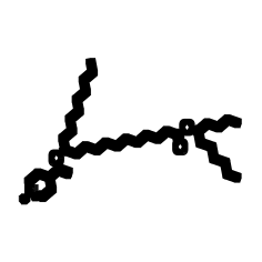 C=C(OC(CCCCCCCCC)CCCCCCCCCCC(=O)OC(CCCC)CCCCCC)C1CCN(C)CC1